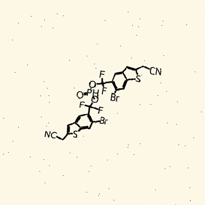 N#CCc1cc2cc(C(F)(F)O[PH](=O)OC(F)(F)c3cc4cc(CC#N)sc4cc3Br)c(Br)cc2s1